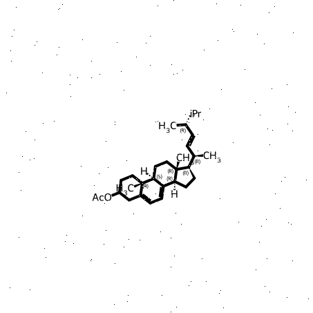 CC(=O)OC1CC[C@@]2(C)C(=CC=C3[C@@H]4CC[C@H]([C@H](C)C=C[C@H](C)C(C)C)[C@@]4(C)CC[C@@H]32)C1